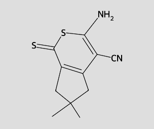 CC1(C)Cc2c(C#N)c(N)sc(=S)c2C1